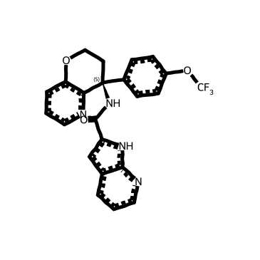 O=C(N[C@]1(c2ccc(OC(F)(F)F)cc2)CCOc2cccnc21)c1cc2cccnc2[nH]1